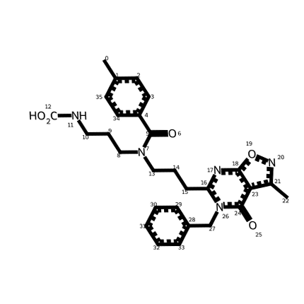 Cc1ccc(C(=O)N(CCCNC(=O)O)CCCc2nc3onc(C)c3c(=O)n2Cc2ccccc2)cc1